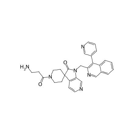 NCCC(=O)N1CCC2(CC1)C(=O)N(Cc1ncc3ccccc3c1-c1cccnc1)c1cnccc12